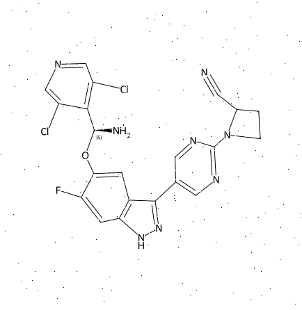 N#CC1CCN1c1ncc(-c2n[nH]c3cc(F)c(O[C@H](N)c4c(Cl)cncc4Cl)cc23)cn1